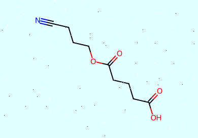 N#CCCCOC(=O)CCCC(=O)O